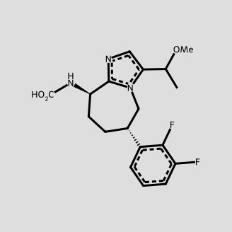 COC(C)c1cnc2n1C[C@H](c1cccc(F)c1F)CC[C@H]2NC(=O)O